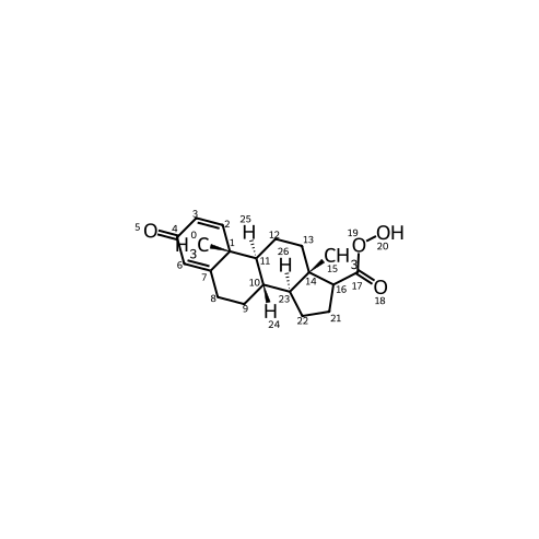 C[C@]12C=CC(=O)C=C1CC[C@@H]1[C@@H]2CC[C@]2(C)C(C(=O)OO)CC[C@@H]12